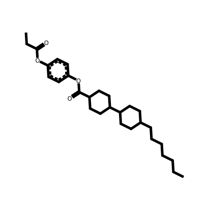 CCCCCCCC1CCC(C2CCC(C(=O)Oc3ccc(OC(=O)CC)cc3)CC2)CC1